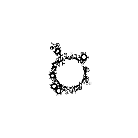 CC[C@H](C)[C@@H]1NC(=O)[C@H](CC(C)C)N(C)C(=O)C[C@@H](C(=O)N2CCCCC2)N(C)C(=O)[C@H](C2CCCCC2)N(C)C(=O)C2(CCCC2)NC(=O)[C@@H]2CCCN2C(=O)[C@H](CCc2ccc(S(C)(=O)=O)cc2)NC(=O)CN(C)C(=O)[C@H](CC2CCCCC2)N(C)C(=O)CN(C)C(=O)CN(C)C1=O